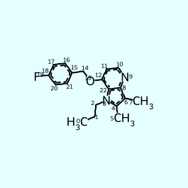 CCCn1c(C)c(C)c2nccc(OCc3ccc(F)cc3)c21